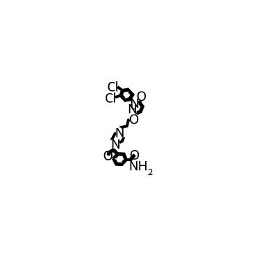 NC(=O)c1ccc2occ(N3CCN(CCCOc4ccc(=O)n(-c5ccc(Cl)c(Cl)c5)n4)CC3)c2c1